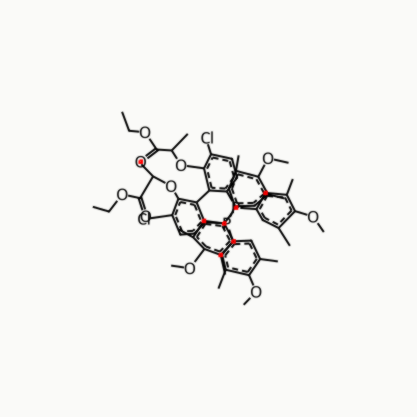 CCOC(=O)C(C)Oc1c(Cl)ccc(P(c2cc(C)c(OC)c(C)c2)c2cc(C)c(OC)c(C)c2)c1-c1c(P(c2cc(C)c(OC)c(C)c2)c2cc(C)c(OC)c(C)c2)ccc(Cl)c1OC(C)C(=O)OCC